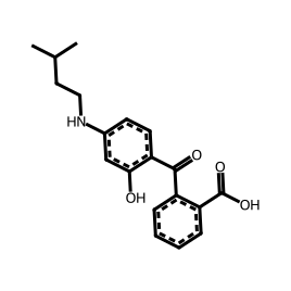 CC(C)CCNc1ccc(C(=O)c2ccccc2C(=O)O)c(O)c1